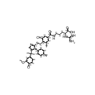 COc1cc(C(C)(C)c2cnc(SCc3c(F)cc(C(=O)NCCCC(NC(=N)N)C(=O)O)cc3Cl)n2-c2ccc(F)cc2)ccc1Cl